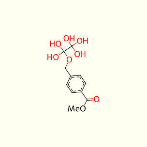 COC(=O)c1ccc(COC(O)(O)C(O)(O)O)cc1